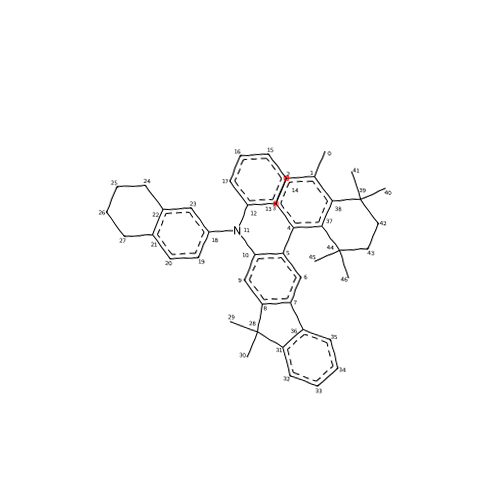 Cc1ccc(-c2cc3c(cc2N(c2ccccc2)c2ccc4c(c2)CCCC4)C(C)(C)c2ccccc2-3)c2c1C(C)(C)CCC2(C)C